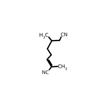 CC(C#N)=CCCC(C)CC#N